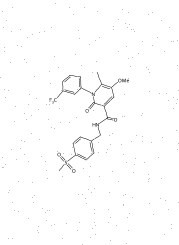 COc1cc(C(=O)NCc2ccc(S(C)(=O)=O)cc2)c(=O)n(-c2cccc(C(F)(F)F)c2)c1C